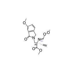 C#C[C@](CN1Cc2ccc(OC)cc2C1=O)(/N=C/OOC)C(=O)OC